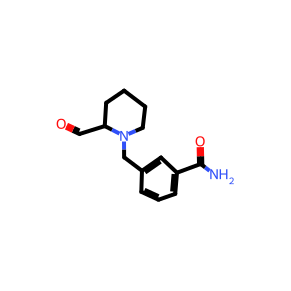 NC(=O)c1cccc(CN2CCCCC2C=O)c1